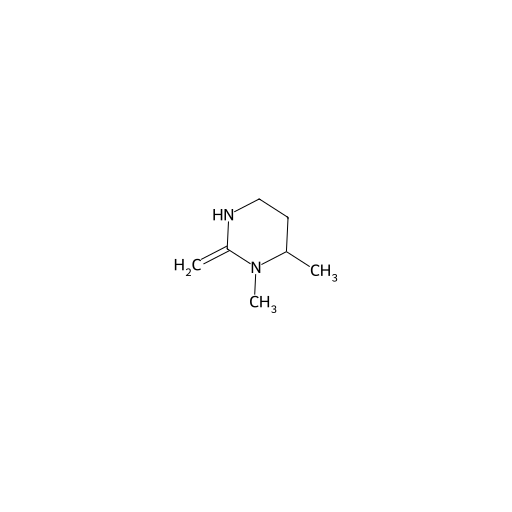 C=C1NCCC(C)N1C